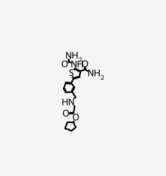 NC(=O)Nc1sc(-c2cccc(CNCC(=O)OC3CCCC3)c2)cc1C(N)=O